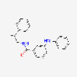 CC(CNC(=O)c1c[c]cc(Nc2ccccc2)c1)c1ccccc1